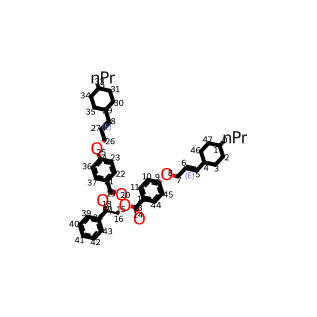 CCCC1CCC(/C=C/COc2ccc(C(=O)OC[C@H](OC(=O)c3ccc(OC/C=C/C4CCC(CCC)CC4)cc3)c3ccccc3)cc2)CC1